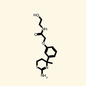 CC1(c2cccc(OCC(=O)NCCO)c2)CCSC(N)=N1